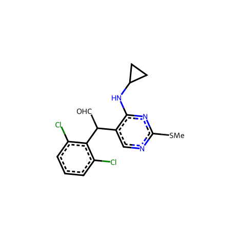 CSc1ncc(C(C=O)c2c(Cl)cccc2Cl)c(NC2CC2)n1